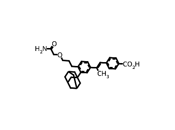 CC(=Cc1ccc(C(=O)O)cc1)c1ccc(CCCOCC(N)=O)c(C23CC4CC(CC(C4)C2)C3)c1